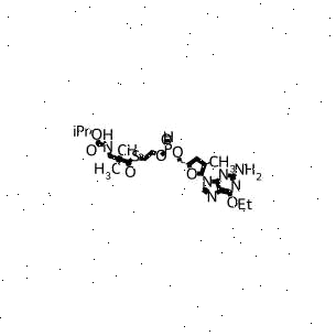 CCOc1nc(N)nc2c1ncn2[C@@H]1O[C@H](CO[PH](=O)OCCSC(=O)C(C)(C)CNC(=O)OC(C)C)C[C@@H]1C